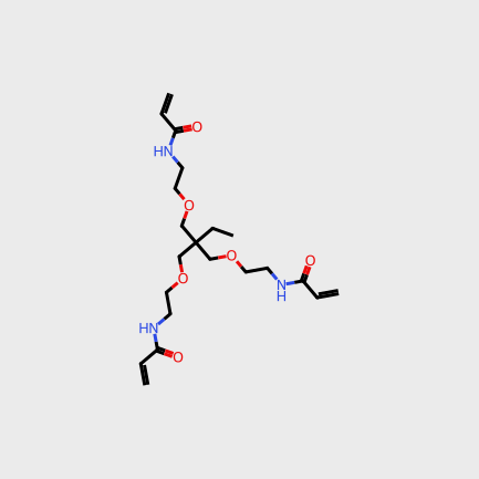 C=CC(=O)NCCOCC(CC)(COCCNC(=O)C=C)COCCNC(=O)C=C